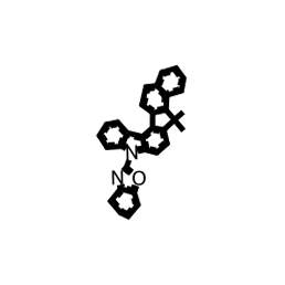 CC1(C)c2ccc3c(c2-c2ccc4ccccc4c21)c1ccccc1n3-c1nc2ccccc2o1